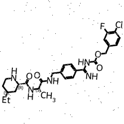 CC[C@H]1CCN[C@@H](C(=O)N[C@@H](C)C(=O)NCc2ccc(C(=N)NC(=O)OCc3ccc(Cl)c(F)c3)cc2)C1